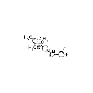 Cc1cc(C)c(S(=O)(=O)C2CCN(c3nc(-c4ccc(F)c(Cl)c4)cs3)CC2)c(C)c1